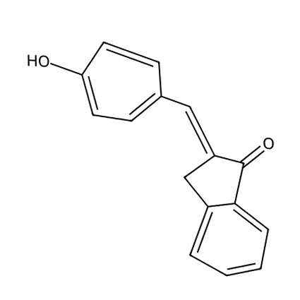 O=C1/C(=C/c2ccc(O)cc2)Cc2ccccc21